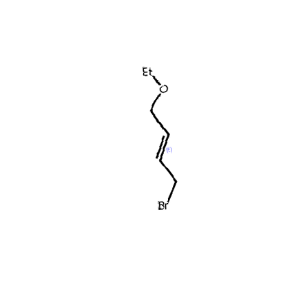 CCOC/C=C/CBr